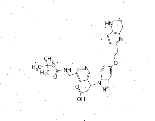 CC(C)(C)OC(=O)NCc1cncc(C(CC(=O)O)n2ncc3cc(OCCc4ccc5c(n4)CCCN5)ccc32)c1